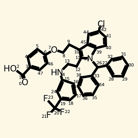 O=C(O)c1ccc(OCCc2c(CCNc3cccc(C(F)(F)F)c3)n(C(c3ccccc3)c3ccccc3)c3ccc(Cl)cc23)cc1